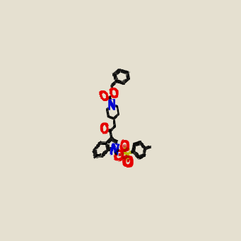 Cc1ccc(S(=O)(=O)On2cc(C(=O)CC3CCN(C(=O)OCc4ccccc4)CC3)c3ccccc32)cc1